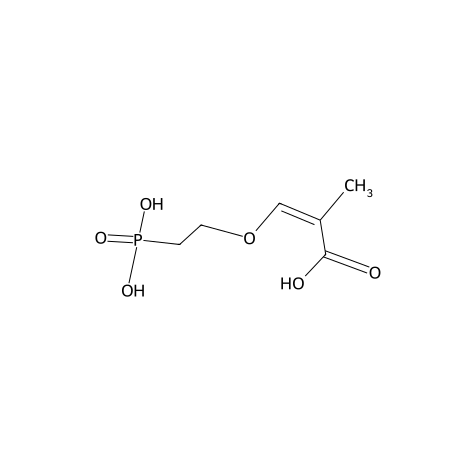 CC(=COCCP(=O)(O)O)C(=O)O